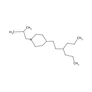 CCCC(CCC)CCC1CCN(CC(C)C)CC1